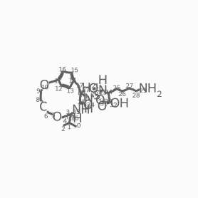 CC(C)[C@H]1COCCCCOc2ccc(cc2)C[C@@H](NS(=O)(=O)NC(CCCCN)C(=O)O)C(=O)N1